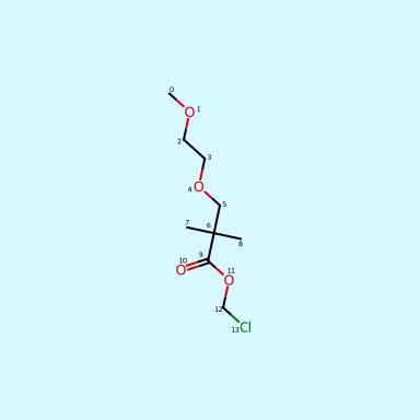 COCCOCC(C)(C)C(=O)OCCl